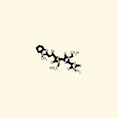 CCC(/C=C1\Oc2ccccc2N1C)=c1\s/c(=c2/s/c(=C3/OC(=S)N(C)C3=O)n(CC(=O)O)c2=O)n(CC(=O)O)c1=O